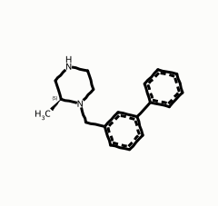 C[C@H]1CNCCN1Cc1cccc(-c2ccccc2)c1